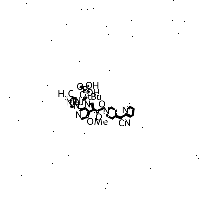 COc1cnc(-n2cnc(C)n2)c2c1c(C(=O)C(=O)N1CCC(=C(C#N)c3ccccn3)CC1)cn2C(OP(=O)(O)O)(C(C)(C)C)C(C)(C)C